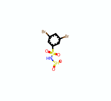 O=[SH](=O)NS(=O)(=O)c1cc(Br)cc(Br)c1